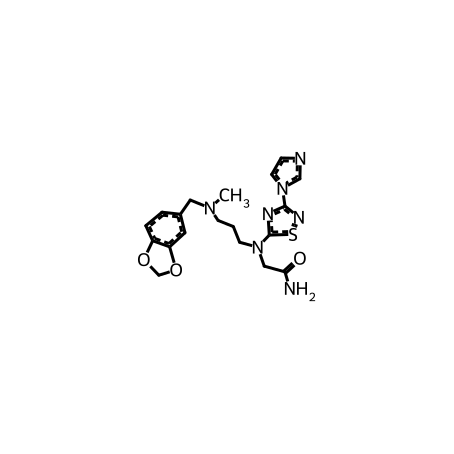 CN(CCCN(CC(N)=O)c1nc(-n2ccnc2)ns1)Cc1ccc2c(c1)OCO2